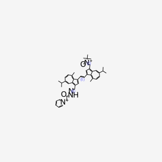 Cc1ccc(C(C)C)cc2c(/C=[N+](\[O-])C(C)(C)C)cc(/C=C/c3cc(/C=N/NC(=O)C[n+]4ccccc4)c4cc(C(C)C)ccc(C)c3-4)c1-2